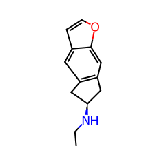 CCN[C@H]1Cc2cc3ccoc3cc2C1